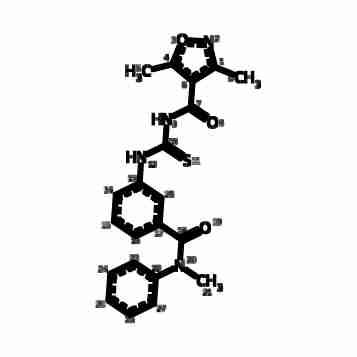 Cc1noc(C)c1C(=O)NC(=S)Nc1cccc(C(=O)N(C)c2ccccc2)c1